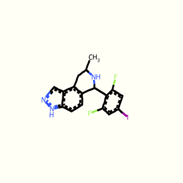 CC1Cc2c(ccc3[nH]ncc23)C(c2c(F)cc(I)cc2F)N1